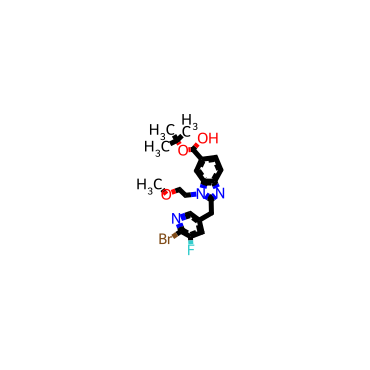 COCCn1c(Cc2cnc(Br)c(F)c2)nc2ccc(C(O)OC(C)(C)C)cc21